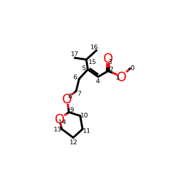 COC(=O)C=C(CCOC1CCCCO1)C(C)C